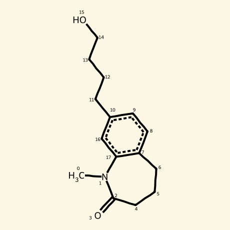 CN1C(=O)CCCc2ccc(CCCCO)cc21